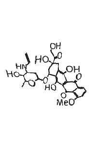 C=CNC1CC(O[C@H]2C[C@](O)(C(=O)CO)Cc3c(O)c4c(c(O)c32)C(=O)c2c(OC)cccc2C4=O)OC(C)C1O